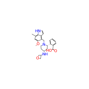 COc1cc(C)c2[nH]ccc2c1CN1CC[C@@H](NC2COC2)C[C@H]1c1ccccc1C(=O)O